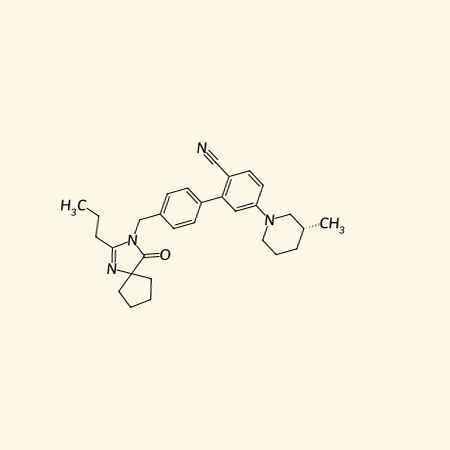 CCCC1=NC2(CCCC2)C(=O)N1Cc1ccc(-c2cc(N3CCC[C@@H](C)C3)ccc2C#N)cc1